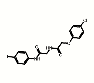 O=C(COc1ccc(Cl)cc1)NCC(=O)Nc1ccc(I)cc1